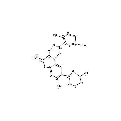 CC(C)C1CCCN(c2ccc(CC(C)C3CCN(c4cc(F)ccc4F)CC3)cc2C#N)C1